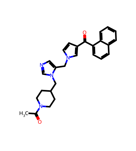 CC(=O)N1CCC(Cn2cncc2Cn2ccc(C(=O)c3cccc4ccccc34)c2)CC1